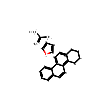 C=C(C)C(=O)O.c1ccc2c(c1)ccc1c3c(ccc12)CCCC3.c1ccoc1